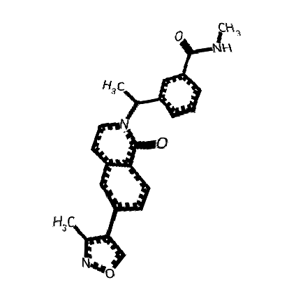 CNC(=O)c1cccc(C(C)n2ccc3cc(-c4conc4C)ccc3c2=O)c1